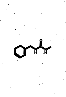 CNC(=O)NCC1=CC=CCC1